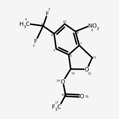 CC(F)(F)c1cc2c(c([N+](=O)[O-])c1)COC2OC(=O)C(F)(F)F